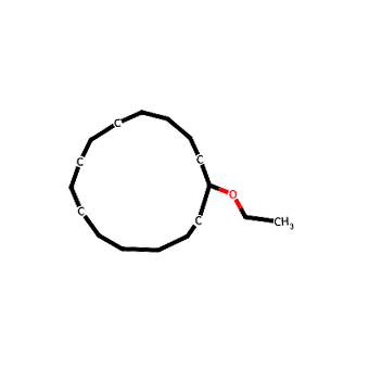 CCOC1CCCCCCCCCCCCCC1